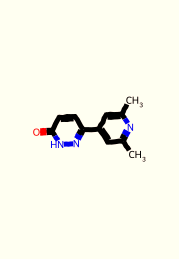 Cc1cc(-c2ccc(=O)[nH]n2)cc(C)n1